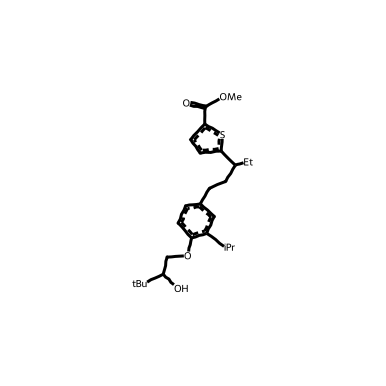 CCC(CCc1ccc(OCC(O)C(C)(C)C)c(C(C)C)c1)c1ccc(C(=O)OC)s1